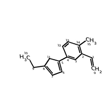 C=Cc1cc(C2=CC=C(CC)C2)ccc1C